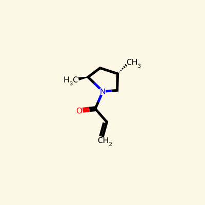 C=CC(=O)N1C[C@@H](C)C[C@@H]1C